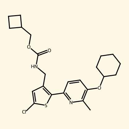 Cc1nc(-c2sc(Cl)cc2CNC(=O)OCC2CCC2)ccc1OC1CCCCC1